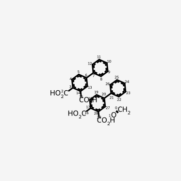 C=O.O=C(O)c1ccc(-c2ccccc2)cc1C(=O)O.O=C(O)c1ccc(-c2ccccc2)cc1C(=O)O